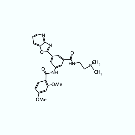 COc1ccc(C(=O)Nc2cc(C(=O)NCCN(C)C)cc(-c3nc4ncccc4o3)c2)c(OC)c1